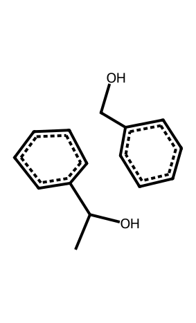 CC(O)c1ccccc1.OCc1ccccc1